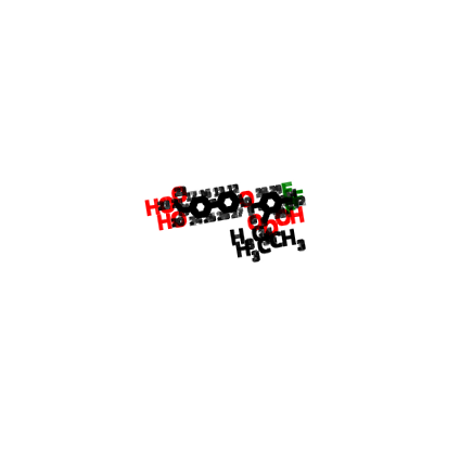 CC(C)(C)OC(=O)c1c(COc2ccc(-c3ccc(C(O)C(=O)O)cc3)cc2)ccc(C(F)(F)F)c1O